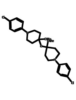 COC1(OC2(OC)CCN(c3ccc(Cl)cc3)CC2)CCN(c2ccc(Cl)cc2)CC1